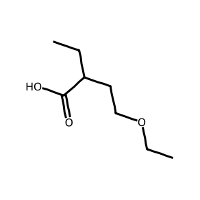 CCOCCC(CC)C(=O)O